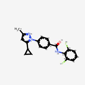 Cc1cc(C2CC2)n(-c2ccc(C(=O)Nc3c(F)cccc3F)cc2)n1